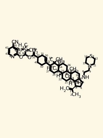 C=C(C)[C@@H]1CC[C@]2(NCCN3CCSCC3)CC[C@]3(C)[C@H](CC[C@@H]4[C@@]5(C)CC=C(C6=CCC(C(=O)OC(Oc7cc(C#N)ccn7)[Si](C)(C)C(C)(C)C)CC6)C(C)(C)[C@@H]5CC[C@]43C)[C@@H]12